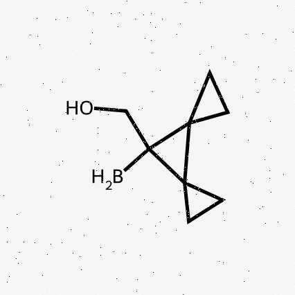 BC1(CO)C2(CC2)C12CC2